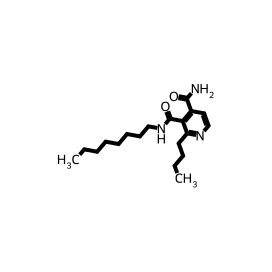 CCCCCCCCNC(=O)c1c(C(N)=O)ccnc1CCCC